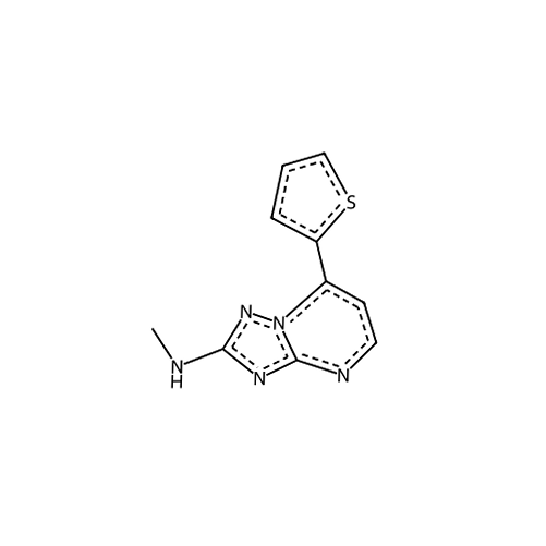 CNc1nc2nccc(-c3cccs3)n2n1